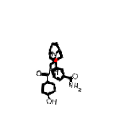 NC(=O)c1cccc(C2CC3CCC(C2)N3CCNC(=O)[C@H]2CC[C@H](O)CC2)c1